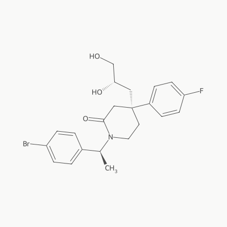 C[C@@H](c1ccc(Br)cc1)N1CC[C@](C[C@H](O)CO)(c2ccc(F)cc2)CC1=O